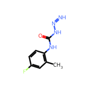 Cc1cc(F)ccc1NC(=O)NN=N